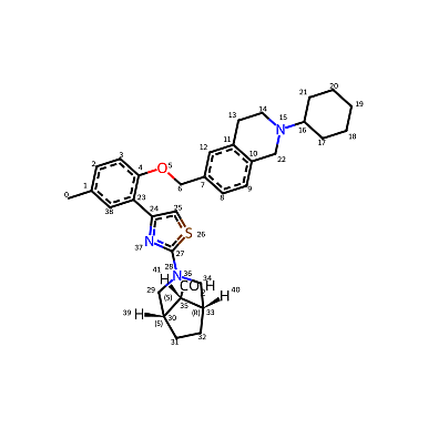 Cc1ccc(OCc2ccc3c(c2)CCN(C2CCCCC2)C3)c(-c2csc(N3C[C@H]4CC[C@@H](C3)[C@H]4C(=O)O)n2)c1